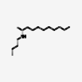 CCCCCCCCCC(C)NCCCC